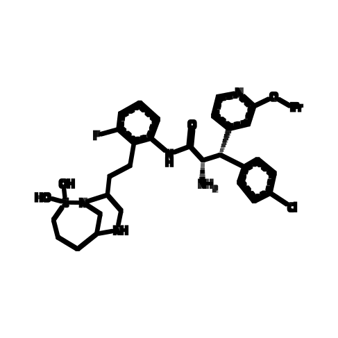 CC(C)Oc1cc([C@H](c2ccc(Cl)cc2)[C@H](N)C(=O)Nc2cccc(F)c2CCC2CNC3CCCS(O)(O)N2C3)ccn1